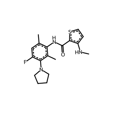 CNc1ccsc1C(=O)Nc1c(C)cc(F)c(N2CCCC2)c1C